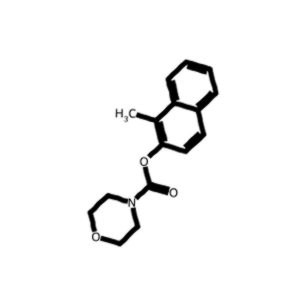 Cc1c(OC(=O)N2CCOCC2)ccc2ccccc12